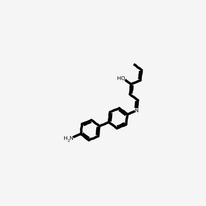 C\C=C/C(O)=C\C=N/c1ccc(-c2ccc(N)cc2)cc1